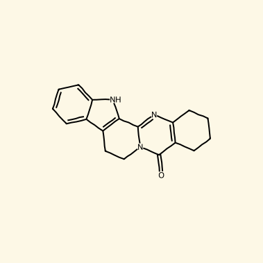 O=c1c2c(nc3n1CCc1c-3[nH]c3ccccc13)CCCC2